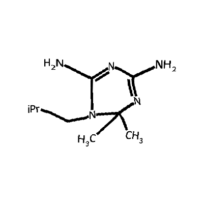 CC(C)CN1C(N)=NC(N)=NC1(C)C